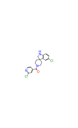 O=C(c1ccnc(Cl)c1)N1CCC2(CC1)CNc1ccc(Cl)cc12